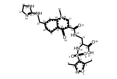 Cc1noc(C)c1S(=O)(=O)NC(CNC(=O)c1cn(C)c2cc(CNC3=NCCN3)ccc2c1=O)C(=O)O